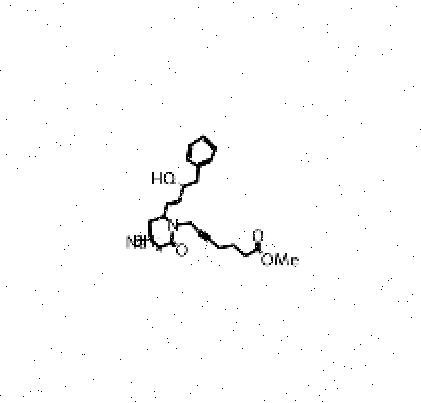 COC(=O)CCCC#CCN1C(=O)CCCC1/C=C/[C@H](O)Cc1ccccc1.[BH4-].[Na+]